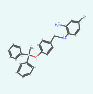 CC(C)(C)[Si](Oc1ccc(CNc2ccc(C#N)cc2N)cc1)(c1ccccc1)c1ccccc1